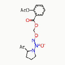 CC(=O)Oc1ccccc1C(=O)OCO/N=[N+](\[O-])N1CCC[C@H]1C(C)=O